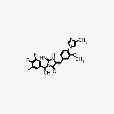 COc1cc(/C=C2\NC(=N)N(C(C)c3cc(F)c(F)c(F)c3)C2=O)ccc1-n1cnc(C)c1